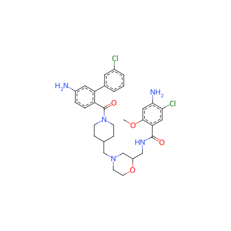 COc1cc(N)c(Cl)cc1C(=O)NCC1CN(CC2CCN(C(=O)c3ccc(N)cc3-c3cccc(Cl)c3)CC2)CCO1